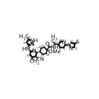 CO[C@]1(C(=O)N[C@@H](C)c2ccc(-n3cc(F)cn3)nc2)CC[C@H](c2nc(Nc3cc(C)[nH]n3)cc(C)c2C#N)CC1